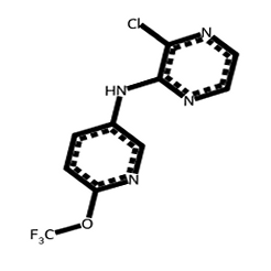 FC(F)(F)Oc1ccc(Nc2nccnc2Cl)cn1